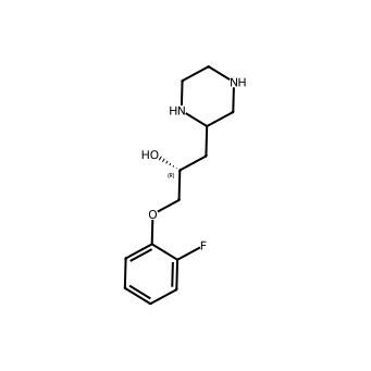 O[C@@H](COc1ccccc1F)CC1CNCCN1